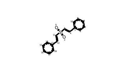 O=S(=O)(/C=C/c1ccccc1)/C=C/c1ccccc1